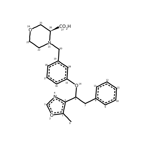 Cc1ocnc1C(Cc1ccccc1)Oc1cccc(CN2CCOC[C@H]2C(=O)O)c1